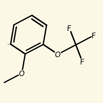 COc1[c]cccc1OC(F)(F)F